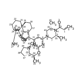 C=CC(=O)N1[C@@H](C)CN(c2cc(-c3noc4c3CCC[C@@]43CCCc4sc(N)c(C#N)c43)nc(O[C@@H](C)[C@@H]3CCCN3C)n2)C[C@@H]1C